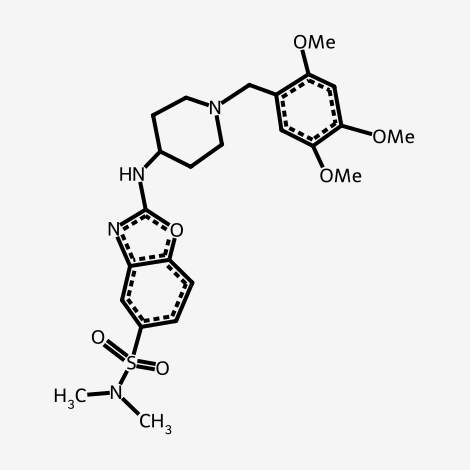 COc1cc(OC)c(OC)cc1CN1CCC(Nc2nc3cc(S(=O)(=O)N(C)C)ccc3o2)CC1